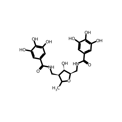 CC1O[C@H](CNC(=O)c2cc(O)c(O)c(O)c2)[C@@H](O)[C@@H]1CNC(=O)c1cc(O)c(O)c(O)c1